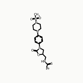 CC(C)C(=S)NCC1CN(c2ccc(N3CCN(S(C)(=O)=O)CC3)cc2)C(=O)O1